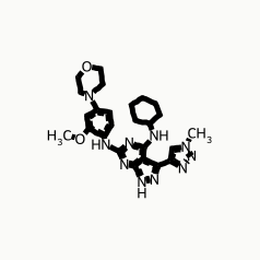 COc1cc(N2CCOCC2)ccc1Nc1nc(NC2CCCCC2)c2c(-c3cn(C)nn3)n[nH]c2n1